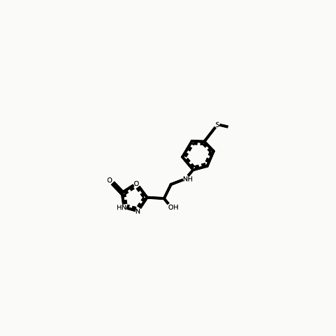 CSc1ccc(NCC(O)c2n[nH]c(=O)o2)cc1